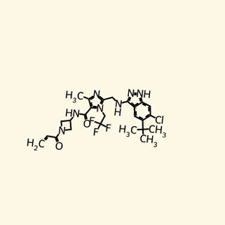 C=CC(=O)N1CC(NC(=O)c2c(C)nc(CNc3n[nH]c4cc(Cl)c(C(C)(C)C)cc34)n2CC(F)(F)F)C1